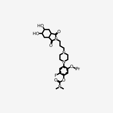 CC(C)Oc1cc(OC(=O)N(C)C)c(F)cc1N1CCN(CCCN2C(=O)C3CC(O)C(O)CC3C2=O)CC1